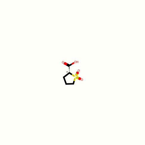 O=C(O)[C@H]1CCCS1(=O)=O